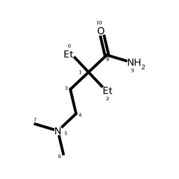 CCC(CC)(CCN(C)C)C(N)=O